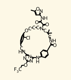 Cc1cc(NC(=O)C(=O)N2CCCOc3ccc(cc3Cl)CNc3nc(nc(OCC(F)(F)F)n3)Nc3ccc(cc3)C(=O)NCC(C)(C)C2)no1